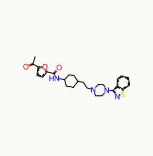 CC(=O)c1ccc(C(=O)NC2CCC(CCN3CCN(c4nsc5ccccc45)CC3)CC2)o1